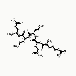 CSCC[C@@H](NC(=O)[C@H](CCC(N)=O)NC(=O)[C@@H](N)CCCNC(=N)N)C(=O)N[C@@H](CCC(=O)O)C(=O)N[C@@H](CCC(N)=O)C(=O)O